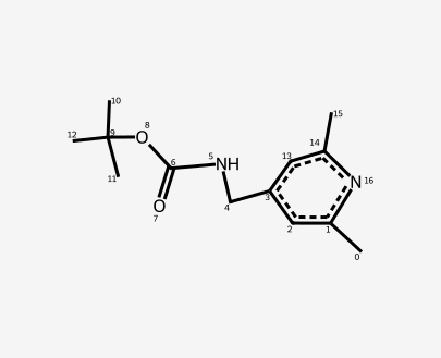 Cc1cc(CNC(=O)OC(C)(C)C)cc(C)n1